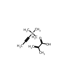 C=C(C)C(=O)O.CC#C[Si](C)(C)C